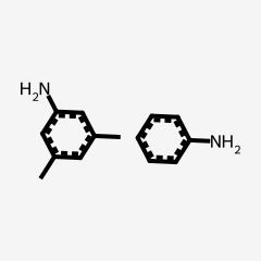 Cc1cc(C)cc(N)c1.Nc1ccccc1